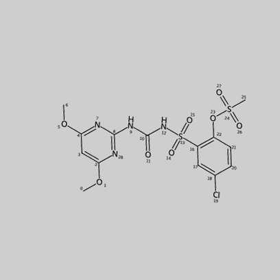 COc1cc(OC)nc(NC(=O)NS(=O)(=O)c2cc(Cl)ccc2OS(C)(=O)=O)n1